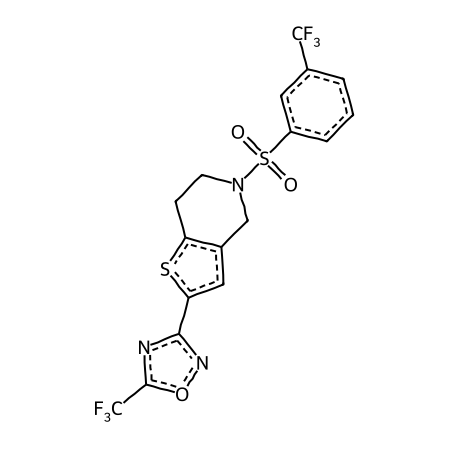 O=S(=O)(c1cccc(C(F)(F)F)c1)N1CCc2sc(-c3noc(C(F)(F)F)n3)cc2C1